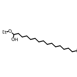 CCOC(O)CCCCCCCCCCCCCCC(C)C